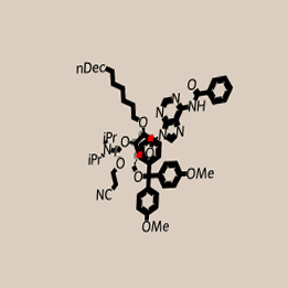 CCCCCCCCCCCCCCCCO[C@@H]1[C@H](OP(OCCC#N)N(C(C)C)C(C)C)[C@@H](COC(c2ccccc2)(c2ccc(OC)cc2)c2ccc(OC)cc2)O[C@H]1n1cnc2c(NC(=O)c3ccccc3)ncnc21